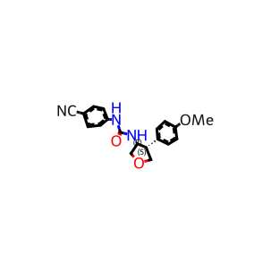 COc1ccc([C@@H]2COC[C@@H]2NC(=O)Nc2ccc(C#N)cc2)cc1